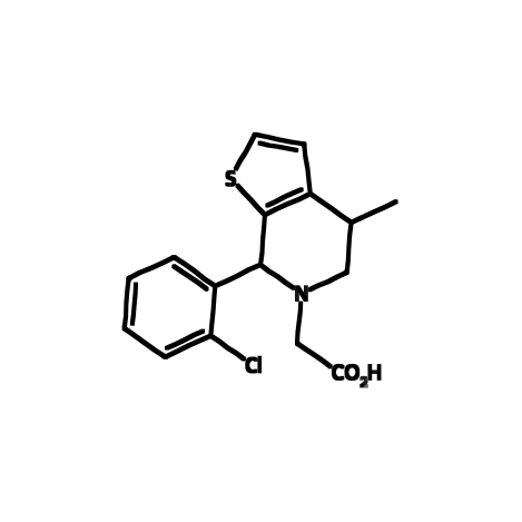 CC1CN(CC(=O)O)C(c2ccccc2Cl)c2sccc21